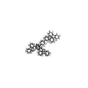 c1ccc2c(c1)-c1cccc(-c3ccc(-c4ccc(-c5nc(-c6cccc7c6oc6ccccc67)nc(-c6cccc7c6oc6ccccc67)n5)cc4)cc3)c1C21CCCCC1